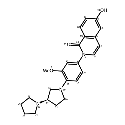 COc1cc(-n2ccc3cc(O)ccc3c2=O)ccc1N1CC[C@@H](N2CCCC2)C1